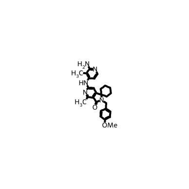 COc1ccc(CN2C(=O)c3c(cc(Nc4ccnc(N)c4C)nc3C)C23CCCCC3)cc1